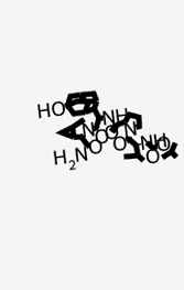 CC(C)[C@@H](NC(=O)OC(C)(C)C)C(=O)N1CCCC1C(=O)NC(C(=O)N1CC2CC2C1C(N)=O)C1C2CC3CC1CC(O)(C3)C2